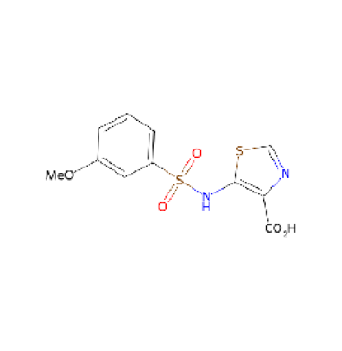 COc1cccc(S(=O)(=O)Nc2scnc2C(=O)O)c1